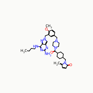 C=C1C=CC(=O)N1CC1CCC(C(=O)N2CCN(Cc3ccc(OC)c(Cn4cc5nc(N)nc(NCCCC)c5n4)c3)CC2)CC1